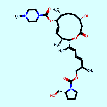 C/C(=C\C=C\C(C)COC(=O)N1CCC[C@@H]1CO)[C@H]1OC(=O)C[C@@H](O)CC[C@@H](C)[C@@H](OC(=O)N2CCN(C)CC2)/C=C/[C@@H]1C